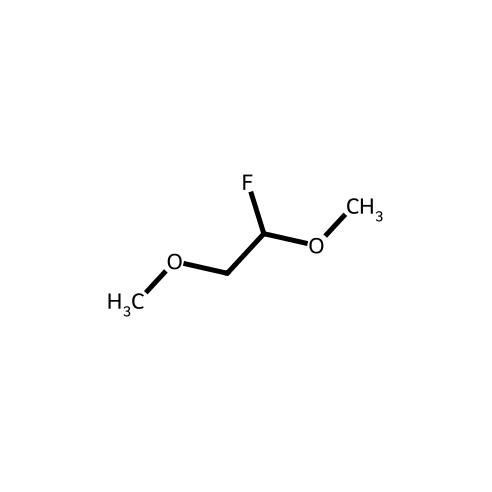 COCC(F)OC